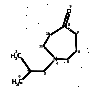 C[C](C)CN1CCCC(=O)CC1